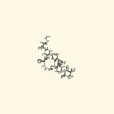 C=C(/N=C\C=C/C)Nc1ccc2c(c1)NC(=O)CCCCC(c1ccc(-c3c(F)ccc(Cl)c3F)c[n+]1O)c1cccc-2c1